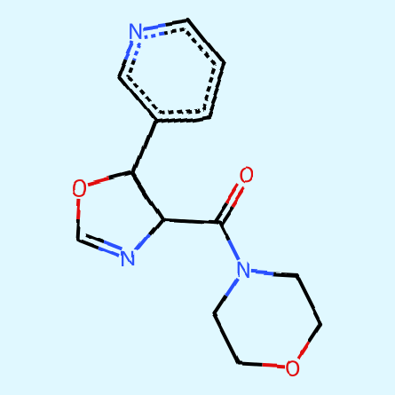 O=C(C1N=COC1c1cccnc1)N1CCOCC1